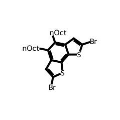 CCCCCCCCc1c(CCCCCCCC)c2cc(Br)sc2c2sc(Br)cc12